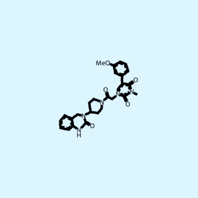 COc1cccc(-c2cn(CC(=O)N3CCC(N4Cc5ccccc5NC4=O)CC3)c(=O)n(C)c2=O)c1